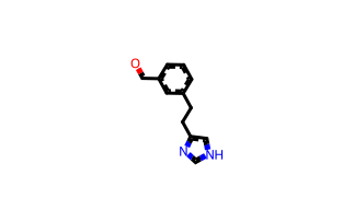 O=Cc1cccc(CCc2c[nH]cn2)c1